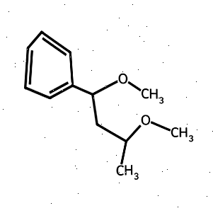 COC(C)CC(OC)c1ccccc1